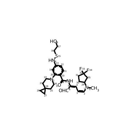 CN(/C=C\C=C(/C=O)NC(=O)c1ccc(NSCCO)cc1N1CCC2(CC1)CC2)C1CCC(F)(F)C1